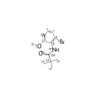 COc1nccc(Br)c1NC(=O)C(C)(C)C